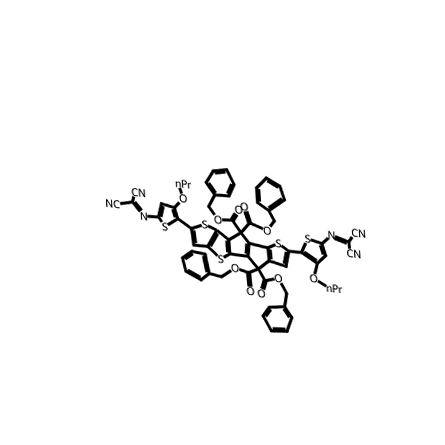 CCCOc1cc(N=C(C#N)C#N)sc1-c1cc2c(s1)C1=C(c3sc4cc(-c5sc(N=C(C#N)C#N)cc5OCCC)sc4c3C1(C(=O)OCc1ccccc1)C(=O)OCc1ccccc1)C2(C(=O)OCc1ccccc1)C(=O)OCc1ccccc1